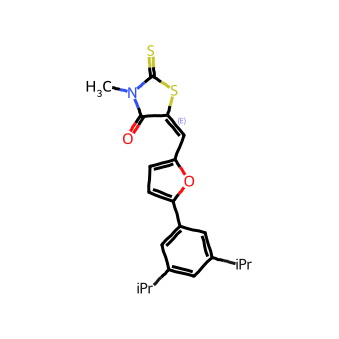 CC(C)c1cc(-c2ccc(/C=C3/SC(=S)N(C)C3=O)o2)cc(C(C)C)c1